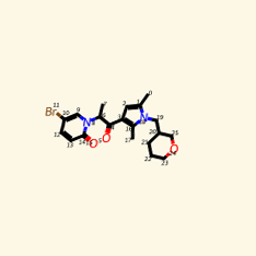 Cc1cc(C(=O)C(C)n2cc(Br)ccc2=O)c(C)n1CC1CCCOC1